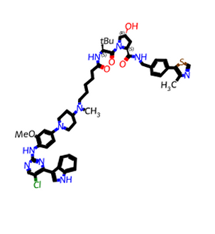 COc1cc(N2CCC(N(C)CCCCCC(=O)N[C@H](C(=O)N3C[C@H](O)C[C@H]3C(=O)NCc3ccc(-c4scnc4C)cc3)C(C)(C)C)CC2)ccc1Nc1ncc(Cl)c(-c2c[nH]c3ccccc23)n1